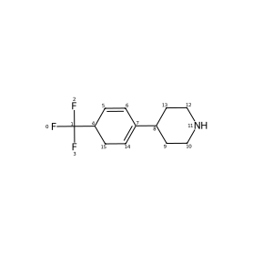 FC(F)(F)C1C=CC(C2CCNCC2)=CC1